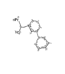 CCCC(O)c1cccc(-c2ccccc2)c1